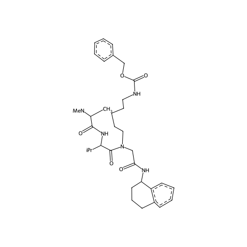 CNC(C)C(=O)NC(C(=O)N(CCCCCNC(=O)OCc1ccccc1)CC(=O)NC1CCCc2ccccc21)C(C)C